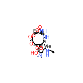 C#CCNCC1CC(N(C)C)C(O)[C@H](O[C@@H]2[C@@H](C)C(=O)C(C)C(=O)O[C@H](CC)[C@@]3(C)OC(=O)N[C@@H]3[C@@H](C)NC[C@H](C)C[C@@]2(C)OC)O1